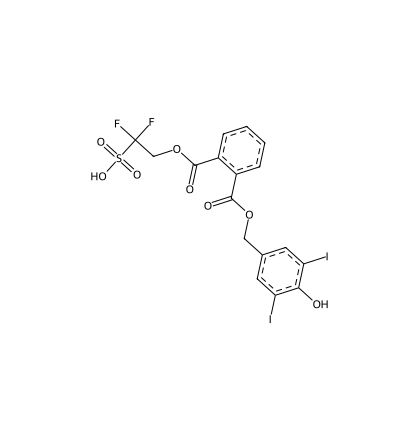 O=C(OCc1cc(I)c(O)c(I)c1)c1ccccc1C(=O)OCC(F)(F)S(=O)(=O)O